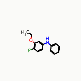 CCOc1cc(Nc2[c]cccc2)ccc1F